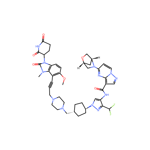 COc1ccc2c(c1C#CCN1CCN(C[C@H]3CC[C@H](n4cc(NC(=O)c5cnn6ccc(N7C[C@H]8C[C@@H]7CO8)nc56)c(C(F)F)n4)CC3)CC1)n(C)c(=O)n2C1CCC(=O)NC1=O